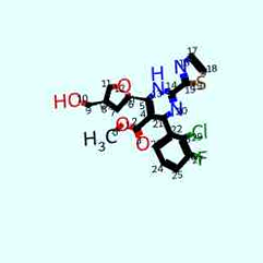 COC(=O)C1=C([C@H]2C[C@@H](CO)CO2)NC(c2nccs2)=NC1c1cccc(F)c1Cl